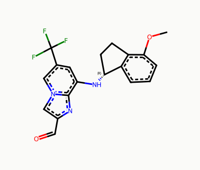 COc1cccc2c1CC[C@H]2Nc1cc(C(F)(F)F)cn2cc(C=O)nc12